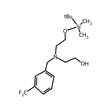 CC(C)(C)[Si](C)(C)OCCN(CCO)Cc1cccc(C(F)(F)F)c1